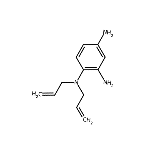 C=CCN(CC=C)c1ccc(N)cc1N